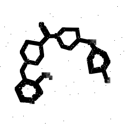 Nc1cnccc1CN1CCC(C(=O)N2CCC(Nc3ccc(Cl)cc3)CC2)CC1